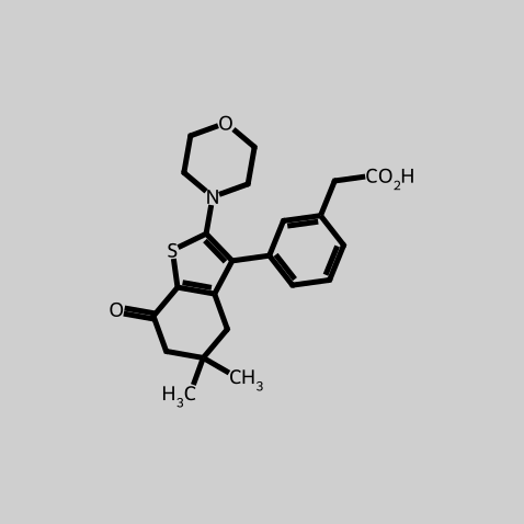 CC1(C)CC(=O)c2sc(N3CCOCC3)c(-c3cccc(CC(=O)O)c3)c2C1